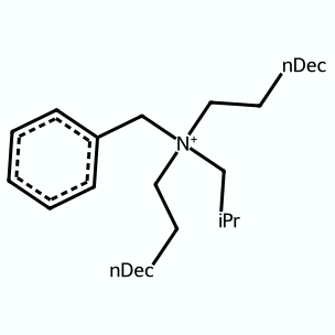 CCCCCCCCCCCC[N+](CCCCCCCCCCCC)(Cc1ccccc1)CC(C)C